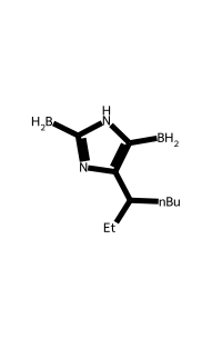 Bc1nc(C(CC)CCCC)c(B)[nH]1